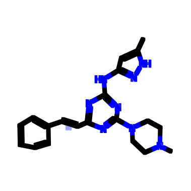 Cc1cc(Nc2nc(/C=C/c3ccccc3)nc(N3CCN(C)CC3)n2)n[nH]1